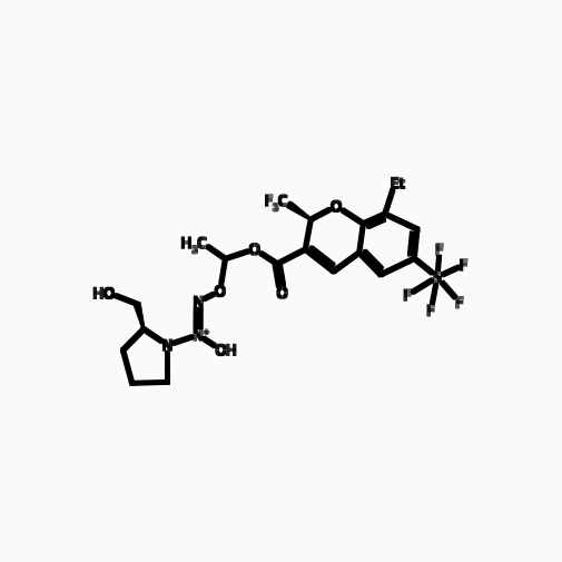 CCc1cc(S(F)(F)(F)(F)F)cc2c1O[C@H](C(F)(F)F)C(C(=O)OC(C)O/N=[N+](\O)N1CCC[C@H]1CO)=C2